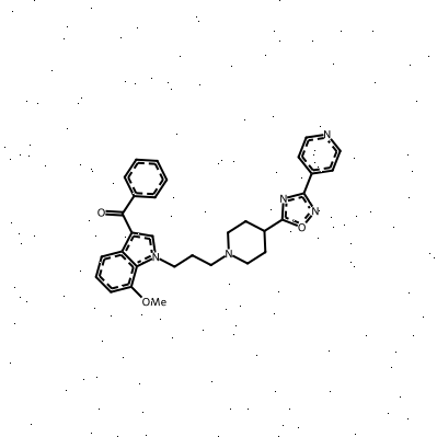 COc1cccc2c(C(=O)c3ccccc3)cn(CCCN3CCC(c4nc(-c5ccncc5)no4)CC3)c12